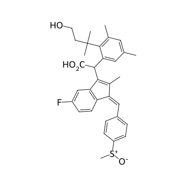 CC1=C(C(C(=O)O)c2cc(C)cc(C)c2C(C)(C)CCO)c2cc(F)ccc2C1=Cc1ccc([S+](C)[O-])cc1